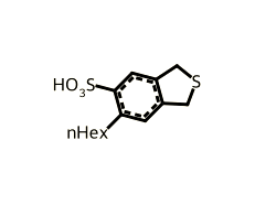 CCCCCCc1cc2c(cc1S(=O)(=O)O)CSC2